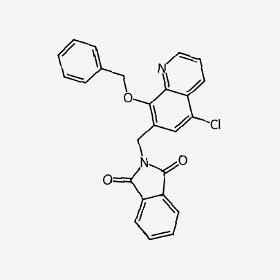 O=C1c2ccccc2C(=O)N1Cc1cc(Cl)c2cccnc2c1OCc1ccccc1